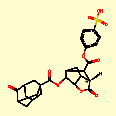 O=C1C2CC3CC1CC(C(=O)OC1C4CC5C1OC(=O)[C@H]5C4C(=O)Oc1ccc(S(=O)(=O)O)cc1)(C3)C2